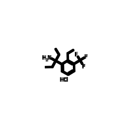 CCc1c(C(F)(F)F)cccc1C(N)(CC)CC.Cl